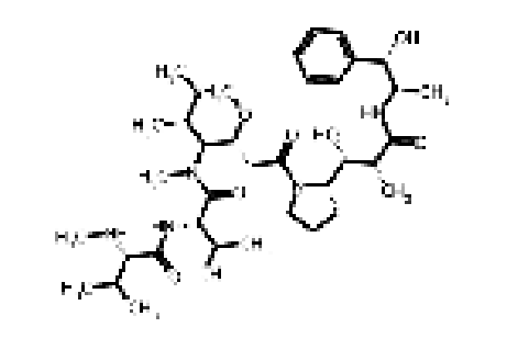 CC[C@H](C)C([C@@H](CC(=O)N1CCC[C@H]1[C@H](O)[C@@H](C)C(=O)N[C@H](C)[C@@H](O)c1ccccc1)OC)N(C)C(=O)[C@@H](NC(=O)[C@@H](NC)C(C)C)C(C)C